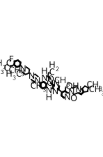 C=CC(=O)Nc1cc(Nc2nc(-c3ccnc(N4CCn5c(cc6c5CC(C)(C)C6)C4=O)c3CO)cn(C)c2=O)ccc1N1CCN(C2CCN(c3ccc(F)c(C(C)(C)C)c3)[C@H](C)C2)C[C@@H]1C